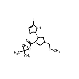 COC[C@H]1C[C@@H](c2ncc(I)[nH]2)N(C(=O)OC(C)(C)C)C1